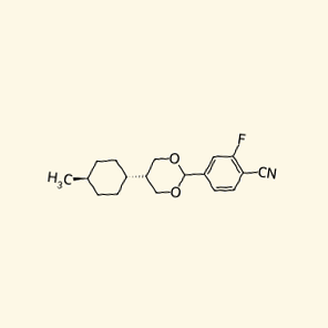 C[C@H]1CC[C@H](C2COC(c3ccc(C#N)c(F)c3)OC2)CC1